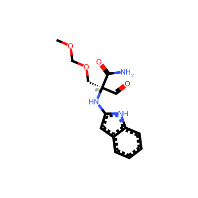 COCOC[C@](C=O)(Nc1cc2ccccc2[nH]1)C(N)=O